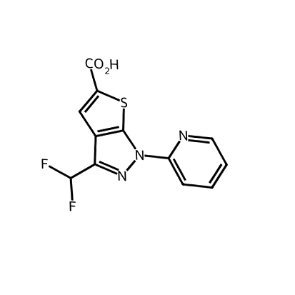 O=C(O)c1cc2c(C(F)F)nn(-c3ccccn3)c2s1